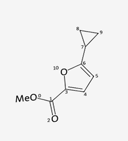 COC(=O)c1ccc(C2CC2)o1